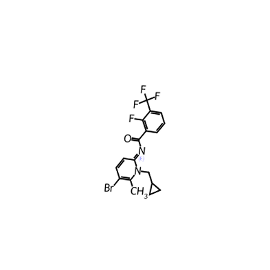 Cc1c(Br)cc/c(=N\C(=O)c2cccc(C(F)(F)F)c2F)n1CC1CC1